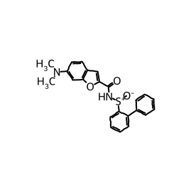 CN(C)c1ccc2cc(C(=O)N[S+]([O-])c3ccccc3-c3ccccc3)oc2c1